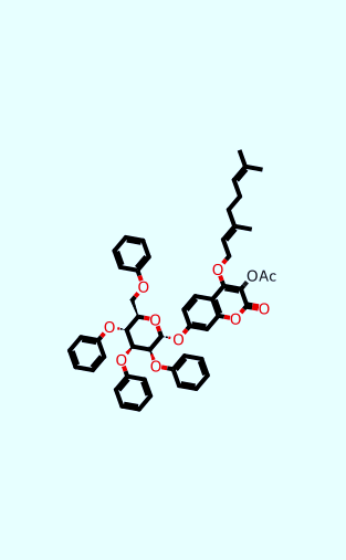 CC(=O)Oc1c(OC/C=C(\C)CCC=C(C)C)c2ccc(O[C@H]3O[C@H](COc4ccccc4)[C@@H](Oc4ccccc4)[C@H](Oc4ccccc4)[C@@H]3Oc3ccccc3)cc2oc1=O